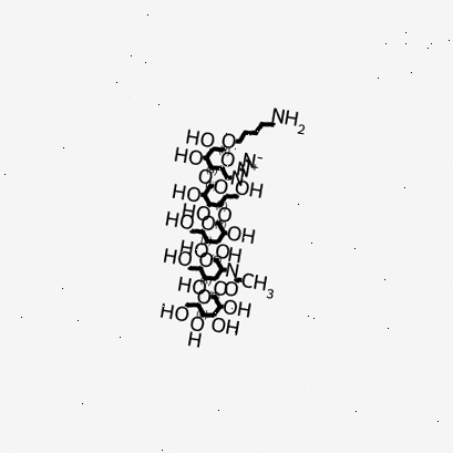 CC(=O)NC1C(O[C@@H]2OC(CO)[C@H](O)C(O)C2O)[C@@H](O)C(CO)O[C@H]1OC1C(O)[C@@H](O[C@H]2C(CO)O[C@@H](O[C@@H]3C(CN=[N+]=[N-])O[C@@H](OCCCCCN)C(O)C3O)C(O)C2O)OC(CO)[C@@H]1O